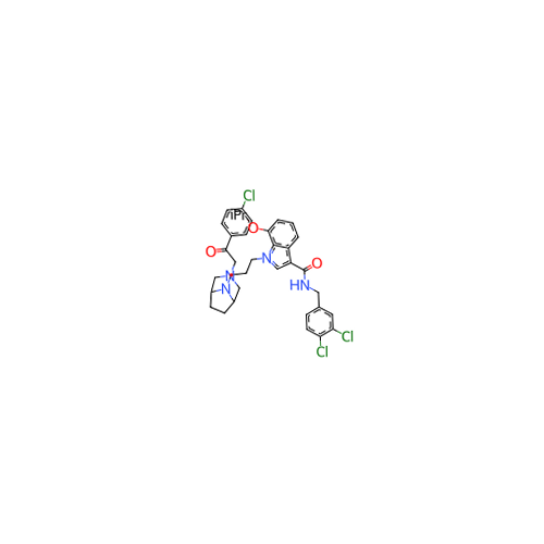 CC(C)Oc1cccc2c(C(=O)NCc3ccc(Cl)c(Cl)c3)cn(CCCN3C4CCC3CN(CC(=O)c3ccc(Cl)cc3)C4)c12